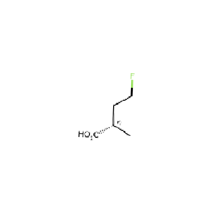 C[C@@H](CCF)C(=O)O